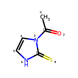 CC(=O)n1cc[nH]c1=S